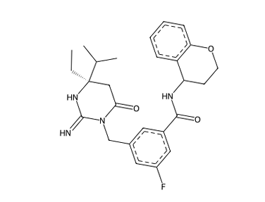 CC[C@]1(C(C)C)CC(=O)N(Cc2cc(F)cc(C(=O)NC3CCOc4ccccc43)c2)C(=N)N1